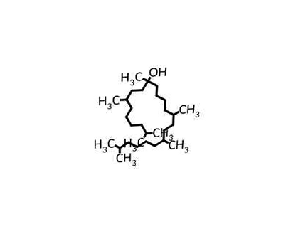 CC(C)CCCCC(C)CCC(C)CCCCC(C)(O)CCC(C)CCCCC(C)C